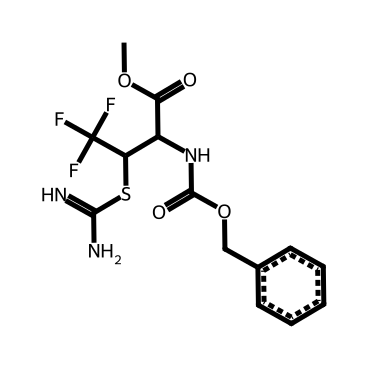 COC(=O)C(NC(=O)OCc1ccccc1)C(SC(=N)N)C(F)(F)F